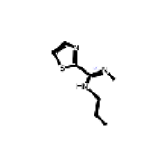 CCCN/C(=N\C)c1nccs1